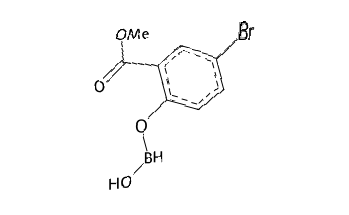 COC(=O)c1cc(Br)ccc1OBO